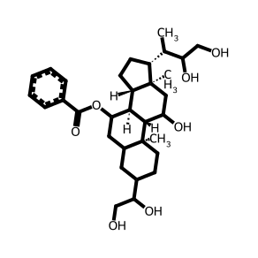 CC(C(O)CO)[C@H]1CC[C@H]2[C@@H]3C(OC(=O)c4ccccc4)CC4CC(C(O)CO)CC[C@]4(C)[C@H]3C(O)C[C@]12C